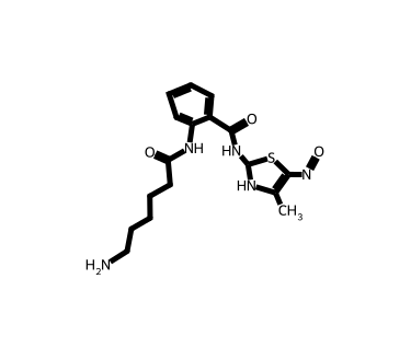 CC1=C(N=O)SC(NC(=O)c2ccccc2NC(=O)CCCCCN)N1